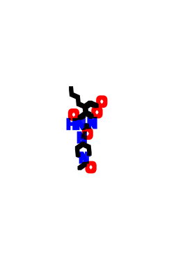 CCCCc1cc(=O)oc2nc(ON=C3CCN(C(C)=O)CC3)[nH]c(=O)c12